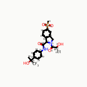 CC[C@@H](O)C(=O)N1Cc2cc(S(C)(=O)=O)ccc2C1C(=O)Nc1ccc(C(C)(O)C(F)(F)F)cc1